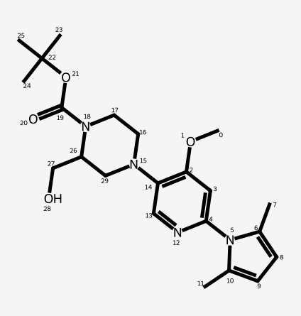 COc1cc(-n2c(C)ccc2C)ncc1N1CCN(C(=O)OC(C)(C)C)C(CO)C1